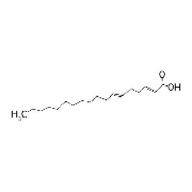 CCCCCCCCCCCC=CCCC=CC(=O)O